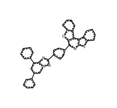 c1ccc(-c2cc(-c3ccccc3)c3nc(-c4ccc(-c5nc6sc7ccccc7c6c6c5oc5ccccc56)cc4)nn3c2)cc1